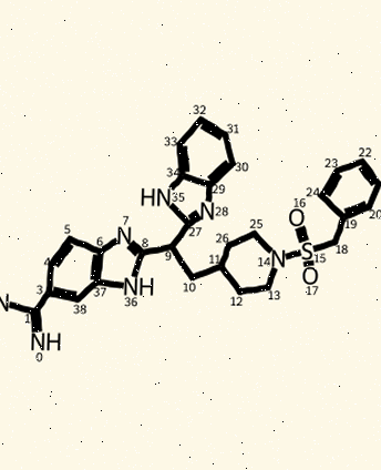 N=C(N)c1ccc2nc(C(CC3CCN(S(=O)(=O)Cc4ccccc4)CC3)c3nc4ccccc4[nH]3)[nH]c2c1